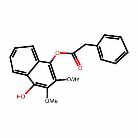 COc1c(OC)c(OC(=O)Cc2ccccc2)c2ccccc2c1O